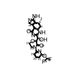 Nc1nsc2c1ccc1[nH]c([C@H](O)[C@H]3OCCN(c4cccc(OC(F)F)n4)C3=O)nc(=O)c12